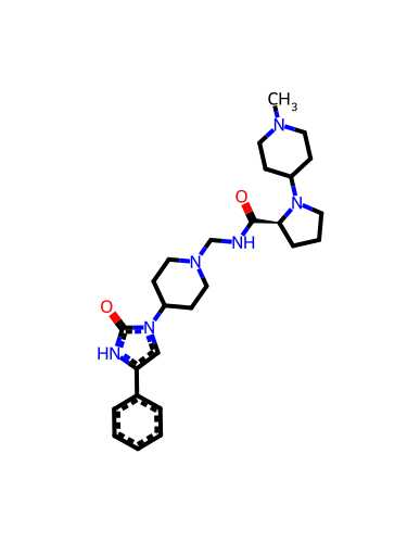 CN1CCC(N2CCC[C@H]2C(=O)NCN2CCC(n3cc(-c4ccccc4)[nH]c3=O)CC2)CC1